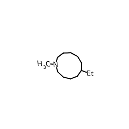 CCC1CCCCCN(C)CCCC1